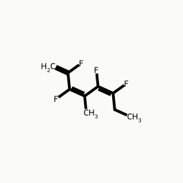 C=C(F)/C(F)=C(C)\C(F)=C(\F)CC